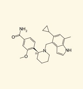 COc1cc(C(N)=O)ccc1[C@@H]1CCCCN1Cc1c(C2CC2)cc(C)c2[nH]ccc12